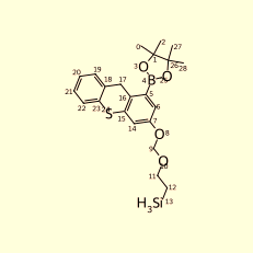 CC1(C)OB(c2cc(OCOCC[SiH3])cc3c2Cc2ccccc2S3)OC1(C)C